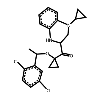 CC(OC1(C(=O)C2CN(C3CC3)c3ccccc3N2)CC1)c1cc(Cl)ccc1Cl